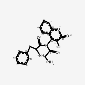 NCC(=O)N(C(=O)C(N)Cc1ccccc1)c1c(F)c(=O)oc2ccccc12